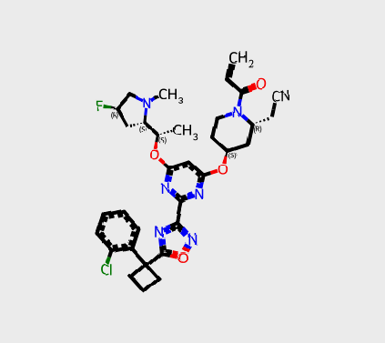 C=CC(=O)N1CC[C@H](Oc2cc(O[C@@H](C)[C@@H]3C[C@@H](F)CN3C)nc(-c3noc(C4(c5ccccc5Cl)CCC4)n3)n2)C[C@H]1CC#N